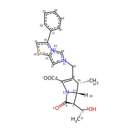 C[C@@H](O)[C@H]1C(=O)N2C(C(=O)[O-])=C(Cn3cc4scc(-c5ccccc5)[n+]4c3)[C@H](C)[C@H]12